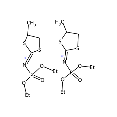 CCOP(=O)(/N=C1\SCC(C)S1)OCC.CCOP(=O)(/N=C1\SCC(C)S1)OCC